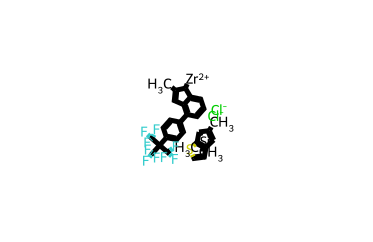 CC1=C2c3ccsc3C1[Si]2(C)C.CC1=Cc2c(-c3ccc(C(C(F)(F)F)(C(F)(F)F)C(F)(F)F)cc3)cccc2[CH]1[Zr+2].[Cl-].[Cl-]